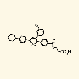 O=C(O)CCNC(=O)c1ccc(C(=O)/C(=C\C(=O)c2ccc(C3CCCCC3)cc2)c2cccc(Br)c2)cc1